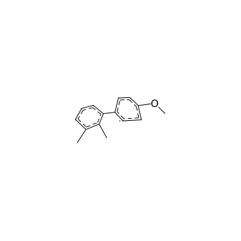 COc1c[c]c(-c2cccc(C)c2C)cc1